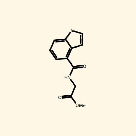 COC(=O)CNC(=O)c1cccc2sccc12